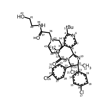 CCOc1cc(C(C)(C)C)ncc1C1=N[C@@](C)(c2ccc(Cl)cc2)[C@@](C)(c2ccc(Cl)cc2)N1C(=O)N1CCN(CC(=O)NCCO)CC1